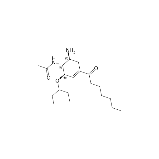 CCCCCCC(=O)C1=C[C@@H](OC(CC)CC)[C@H](NC(C)=O)[C@@H](N)C1